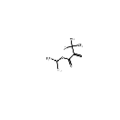 C=C(C(=O)OC(C(F)(F)F)C(F)(F)F)C(O)(C(F)(F)F)C(F)(F)F